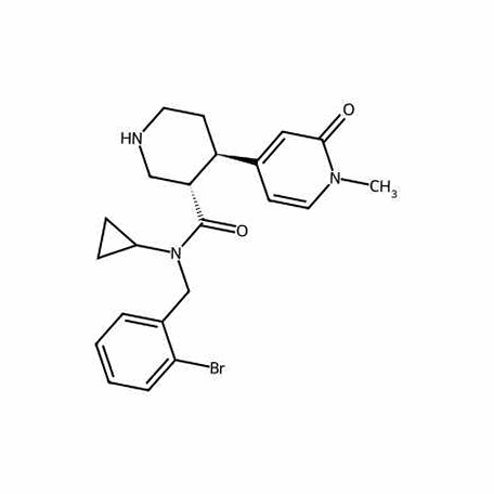 Cn1ccc([C@@H]2CCNC[C@H]2C(=O)N(Cc2ccccc2Br)C2CC2)cc1=O